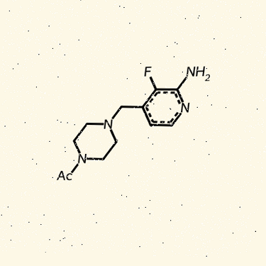 CC(=O)N1CCN(Cc2ccnc(N)c2F)CC1